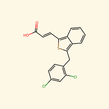 O=C(O)C=Cc1sc(Cc2ccc(Cl)cc2Cl)c2ccccc12